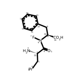 CC(C)C[C@H](N)C(=O)N(F)[C@@H](Cc1ccccc1)C(=O)O